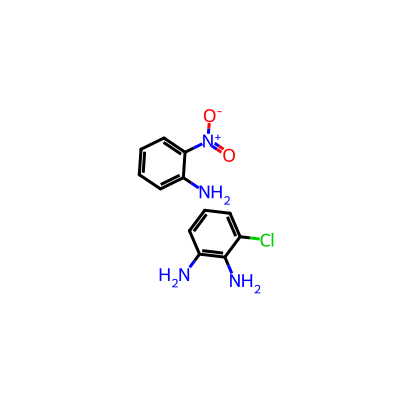 Nc1cccc(Cl)c1N.Nc1ccccc1[N+](=O)[O-]